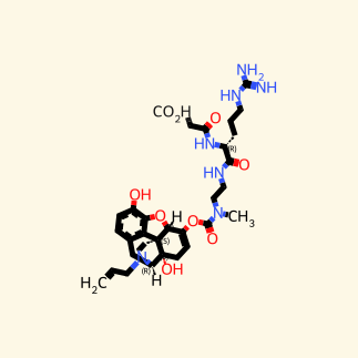 C=CCN1CC[C@]23c4c5ccc(O)c4O[C@H]2C(OC(=O)N(C)CCNC(=O)[C@@H](CCCNC(=N)N)NC(=O)CC(=O)O)=CC[C@@]3(O)[C@H]1C5